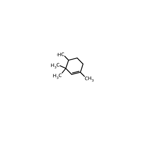 [CH]C1CCC(C)=CC1(C)C